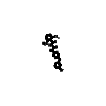 Cc1cccc(C)c1C(=O)NC(=O)Nc1cnc(Oc2cccc(Br)c2)cn1